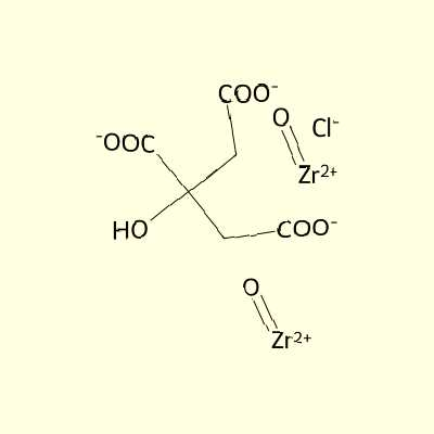 O=C([O-])CC(O)(CC(=O)[O-])C(=O)[O-].[Cl-].[O]=[Zr+2].[O]=[Zr+2]